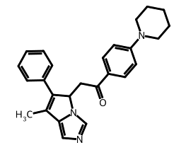 CC1=C(c2ccccc2)C(CC(=O)c2ccc(N3CCCCC3)cc2)n2cncc21